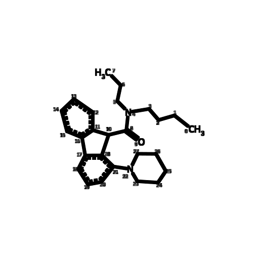 CCCCN(CCC)C(=O)C1c2ccccc2-c2cccc(N3CCCCC3)c21